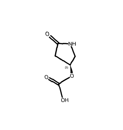 O=C1C[C@H](OC(=O)O)CN1